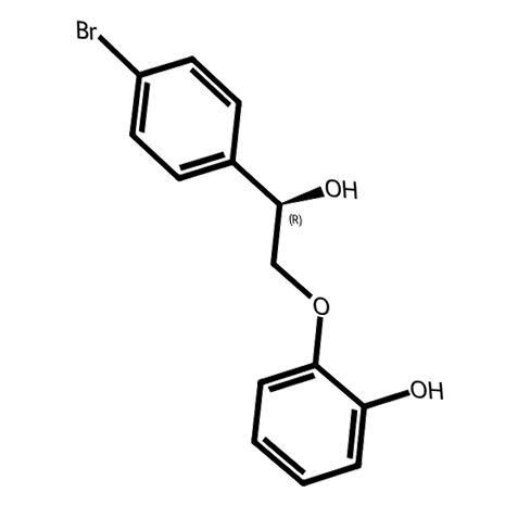 Oc1ccccc1OC[C@H](O)c1ccc(Br)cc1